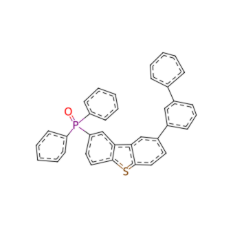 O=P(c1ccccc1)(c1ccccc1)c1ccc2sc3ccc(-c4cccc(-c5ccccc5)c4)cc3c2c1